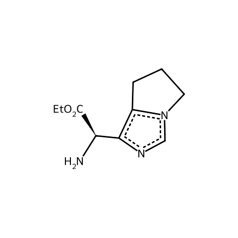 CCOC(=O)[C@H](N)c1ncn2c1CCC2